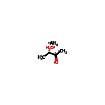 CCC(C)=O.O.[AlH3]